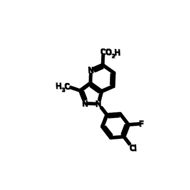 Cc1nn(-c2ccc(Cl)c(F)c2)c2ccc(C(=O)O)nc12